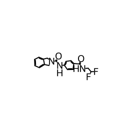 O=C(NCC(F)F)c1ccc(NC(=O)N2Cc3ccccc3C2)cc1